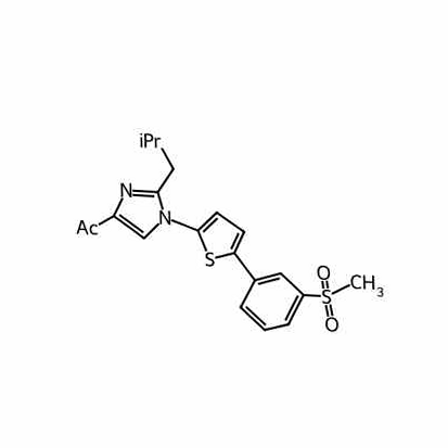 CC(=O)c1cn(-c2ccc(-c3cccc(S(C)(=O)=O)c3)s2)c(CC(C)C)n1